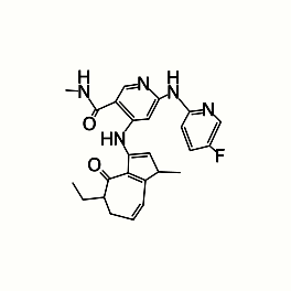 CCC1CC=CC2=C(C1=O)C(Nc1cc(Nc3ccc(F)cn3)ncc1C(=O)NC)=CC2C